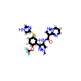 Cn1cc(NC(=O)c2cnn3cccnc23)c(-c2cc(Sc3c[nH]cn3)ccc2OC(F)F)n1